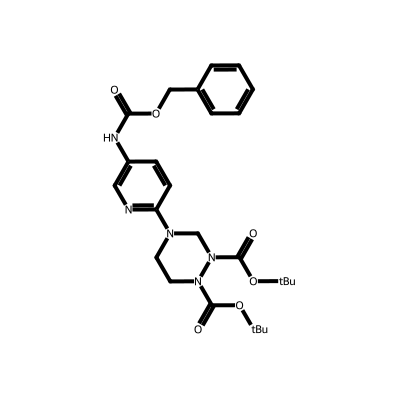 CC(C)(C)OC(=O)N1CCN(c2ccc(NC(=O)OCc3ccccc3)cn2)CN1C(=O)OC(C)(C)C